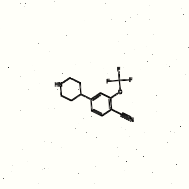 N#Cc1ccc(C2CCNCC2)cc1OC(F)(F)F